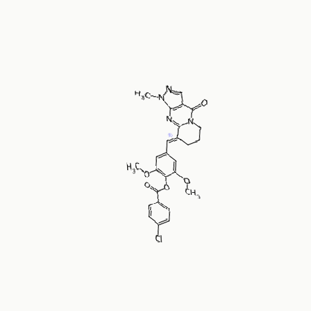 COc1cc(/C=C2\CCCn3c2nc2c(cnn2C)c3=O)cc(OC)c1OC(=O)c1ccc(Cl)cc1